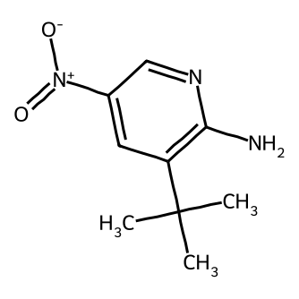 CC(C)(C)c1cc([N+](=O)[O-])cnc1N